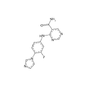 NC(=O)c1cncnc1Nc1ccc(-n2ccnc2)c(F)c1